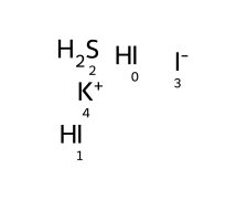 I.I.S.[I-].[K+]